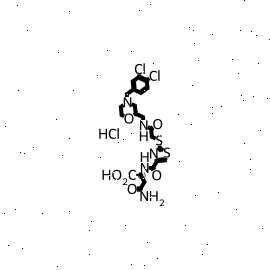 Cl.NC(=O)C[C@H](NC(=O)c1csc(SCC(=O)NCC2CN(Cc3ccc(Cl)c(Cl)c3)CCO2)n1)C(=O)O